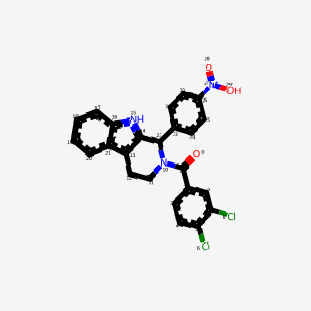 O=C(c1ccc(Cl)c(Cl)c1)N1CCc2c([nH]c3ccccc23)C1c1ccc([N+](=O)O)cc1